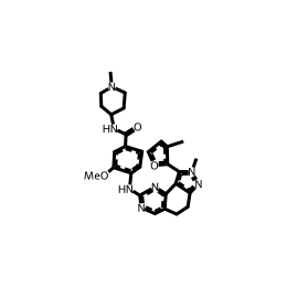 COc1cc(C(=O)NC2CCN(C)CC2)ccc1Nc1ncc2c(n1)-c1c(nn(C)c1-c1occc1C)CC2